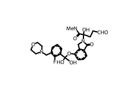 CNC(=O)C(O)(CCC=O)N1Cc2c(OC(O)(O)c3cccc(CN4CCOCC4)c3F)cccc2C1=O